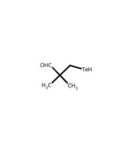 CC(C)(C=O)C[TeH]